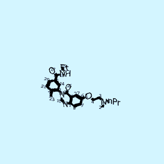 CCCN(C)CCOc1ccc2ncn(-c3cc(C(=O)NCC)ccc3C)c(=O)c2c1